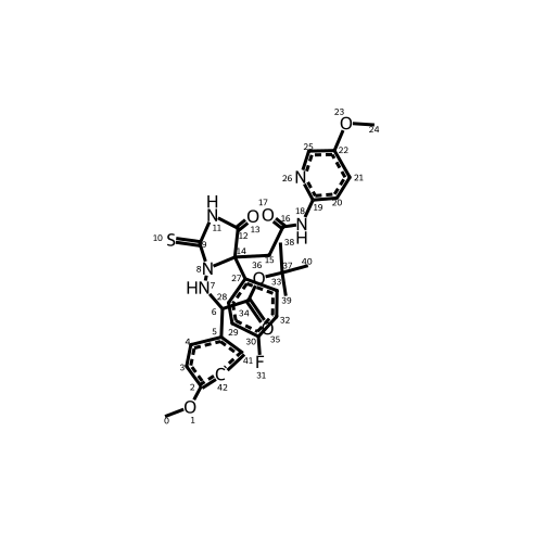 COc1ccc(C(NN2C(=S)NC(=O)C2(CC(=O)Nc2ccc(OC)cn2)c2ccc(F)cc2)C(=O)OC(C)(C)C)cc1